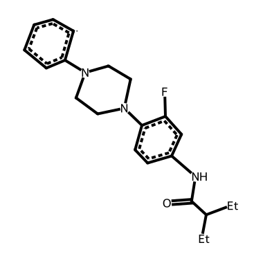 CCC(CC)C(=O)Nc1ccc(N2CCN(c3[c]cccc3)CC2)c(F)c1